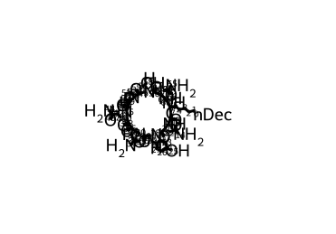 CCCCCCCCCCCCCCCC1CC(=O)N[C@@H](CC(N)=O)C(=O)N[C@@H](Cc2ccc(O)cc2)C(=O)N[C@@H](CC(N)=O)C(=O)C(=O)[C@H](CCC(N)=O)NC(=O)[C@@H]2CCCN2C(=O)[C@H](CO)NC(=O)[C@H](CC(N)=O)NN1